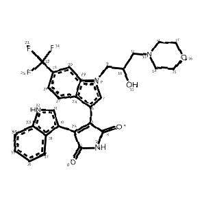 O=C1NC(=O)C(c2cn(CC(O)CN3CCOCC3)c3cc(C(F)(F)F)ccc23)=C1c1c[nH]c2ccccc12